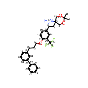 CC1(C)OCC(N)(CCc2ccc(OCCCc3cccc(-c4ccccc4)c3)c(C(F)(F)F)c2)CO1